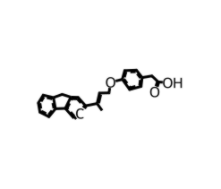 CC(=CCOc1ccc(CC(=O)O)cc1)c1ccc2c(c1)Cc1ccccc1-2